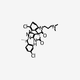 C[C@@H](c1ccc(Cl)cc1)n1nnc2c1NC(=O)C[C@]21C(=O)N(CCCN(C)C)c2ccc(Cl)cc21